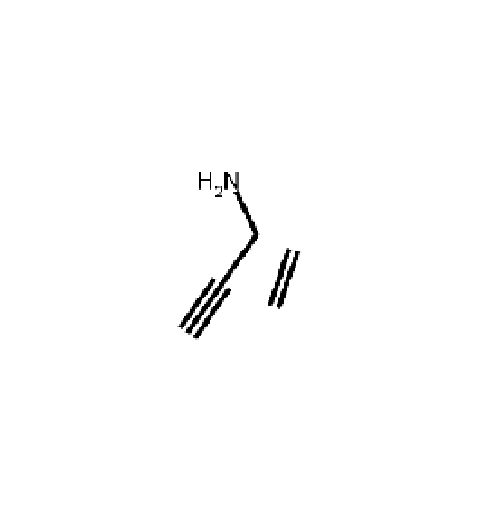 C#CCN.C=C